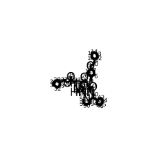 O=C(CN(Cc1ccc(OCc2ccccc2)cc1)C(=O)[C@@H](CNC(=O)OCc1ccccc1)c1c[nH]cn1)NCC(c1ccccc1)c1ccccn1